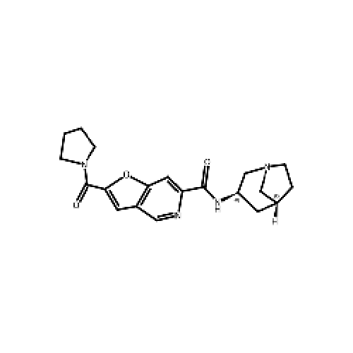 O=C(N[C@@H]1C[C@H]2CCN(C2)C1)c1cc2oc(C(=O)N3CCCC3)cc2cn1